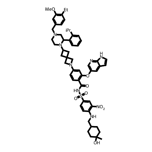 CCc1ccc(CN2CCN(C3CC4(C3)CN(c3ccc(C(=O)NS(=O)(=O)c5ccc(NCC6CCC(C)(O)CC6)c([N+](=O)[O-])c5)c(Oc5cnc6[nH]ccc6c5)c3)C4)C(c3ccccc3C(C)C)C2)cc1OC